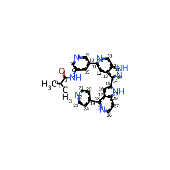 CC(C)C(=O)Nc1cncc(-c2cc3c(-c4cc5c(-c6ccncc6)nccc5[nH]4)n[nH]c3cn2)c1